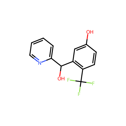 Oc1ccc(C(F)(F)F)c(C(O)c2ccccn2)c1